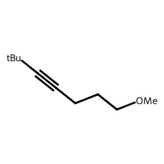 COCCCC#CC(C)(C)C